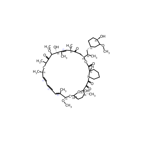 COC1C[C@H](C[C@@H](C)[C@@H]2CC(=O)[C@H](C)/C=C(\C)[C@@H](O)C(OC)C(=O)C(C)C[C@H](C)/C=C/C=C/C=C(\C)[C@@H](OC)C[C@@H]3CC[C@@H](C)[C@@](O)(O3)C(=O)C(=O)N3CCCC[C@H]3C(=O)O2)CC[C@H]1O